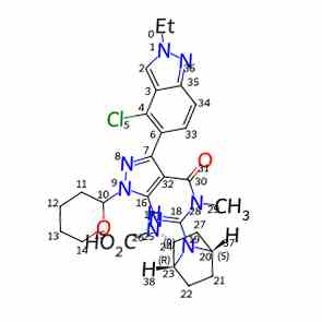 CCn1cc2c(Cl)c(-c3nn(C4CCCCO4)c4nc(N5[C@H]6CC[C@@H]5[C@H](NC(=O)O)C6)n(C)c(=O)c34)ccc2n1